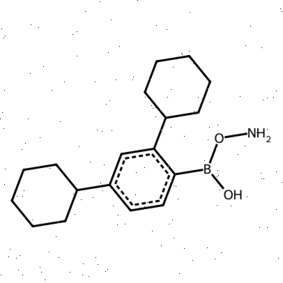 NOB(O)c1ccc(C2CCCCC2)cc1C1CCCCC1